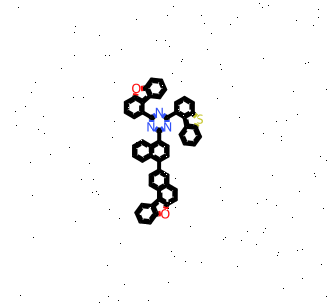 c1ccc2c(c1)oc1cccc(-c3nc(-c4ccc(-c5ccc6c(ccc7oc8ccccc8c76)c5)c5ccccc45)nc(-c4cccc5sc6ccccc6c45)n3)c12